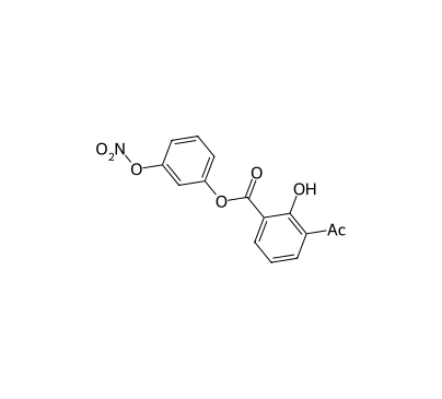 CC(=O)c1cccc(C(=O)Oc2cccc(O[N+](=O)[O-])c2)c1O